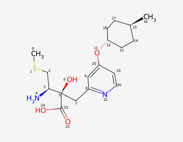 CSC[C@H](N)[C@](O)(Cc1cc(O[C@H]2CC[C@H](C)CC2)ccn1)C(=O)O